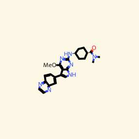 COc1nc(N[C@H]2CC[C@@H](C(=O)N(C)C)CC2)nc2[nH]cc(-c3ccc4nccnc4c3)c12